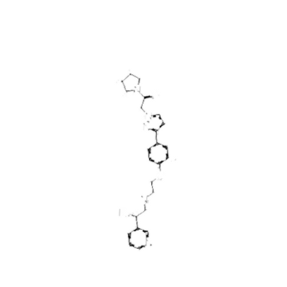 O=C(Cn1ccc(-c2ccc(OCCNCC(O)c3cccnc3)cc2)n1)N1CCCC1